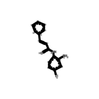 Nc1cc(Cl)ccc1NC(=O)/C=C/c1ccccc1